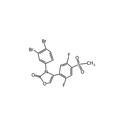 CS(=O)(=O)c1cc(F)c(-c2coc(=O)n2-c2ccc(Br)c(Br)c2)cc1F